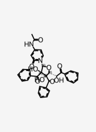 CC(=O)Nc1ccn([C@@H]2O[C@H](C(O)C(=O)c3ccccc3)[C@](O)(C(=O)c3ccccc3)[C@]2(O)C(=O)c2ccccc2)c(=O)c1